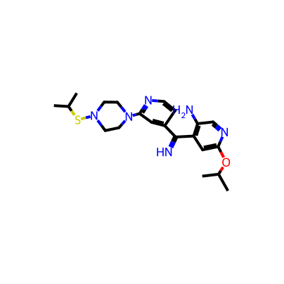 CC(C)Oc1cc(C(=N)c2ccnc(N3CCN(SC(C)C)CC3)c2)c(N)cn1